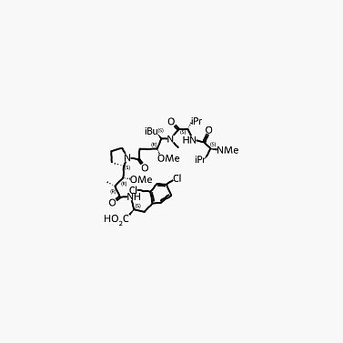 CC[C@H](C)C([C@@H](CC(=O)N1CCC[C@H]1[C@H](OC)[C@@H](C)C(=O)N[C@@H](Cc1ccc(Cl)cc1Cl)C(=O)O)OC)N(C)C(=O)[C@@H](NC(=O)[C@@H](NC)C(C)C)C(C)C